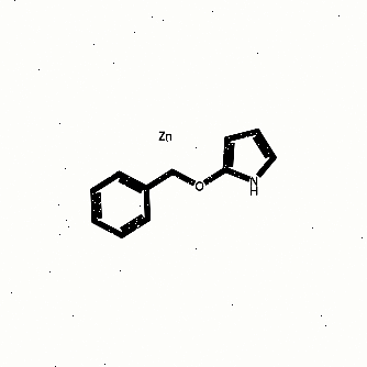 [Zn].c1ccc(COc2ccc[nH]2)cc1